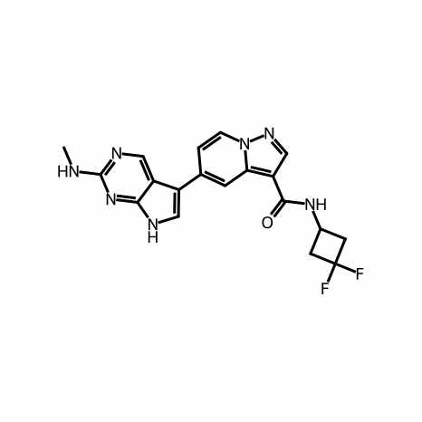 CNc1ncc2c(-c3ccn4ncc(C(=O)NC5CC(F)(F)C5)c4c3)c[nH]c2n1